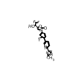 Cn1nnc(-c2ccc(-c3ccc(N4C[C@@H](C(O)C(F)F)OC4=O)cc3F)cn2)n1